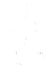 C=C(CC)C(=O)On1cccc1